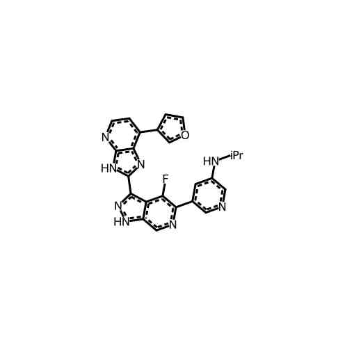 CC(C)Nc1cncc(-c2ncc3[nH]nc(-c4nc5c(-c6ccoc6)ccnc5[nH]4)c3c2F)c1